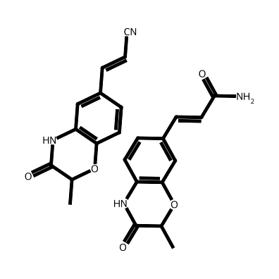 CC1Oc2cc(C=CC(N)=O)ccc2NC1=O.CC1Oc2ccc(C=CC#N)cc2NC1=O